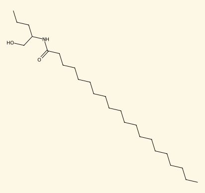 CCCCCCCCCCCCCCCCCCCC(=O)NC(CO)CCC